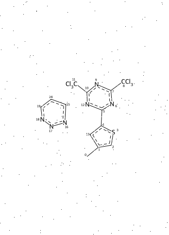 Cc1csc(-c2nc(C(Cl)(Cl)Cl)nc(C(Cl)(Cl)Cl)n2)c1.c1cnnnc1